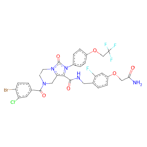 NC(=O)COc1ccc(CNC(=O)c2c3n(c(=O)n2-c2ccc(OCC(F)(F)F)cc2)CCN(C(=O)c2ccc(Br)c(Cl)c2)C3)c(F)c1